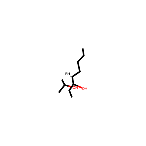 B.CC(C)O.CCCCCC(O)CC